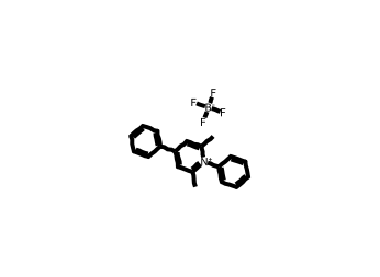 Cc1cc(-c2ccccc2)cc(C)[n+]1-c1ccccc1.F[B-](F)(F)F